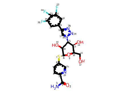 NC(=O)c1ccc(S[C@H]2OC(CO)[C@H](O)[C@H](n3cc(-c4cc(F)c(F)c(F)c4)nn3)C2O)cn1